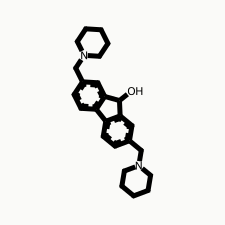 OC1c2cc(CN3CCCCC3)ccc2-c2ccc(CN3CCCCC3)cc21